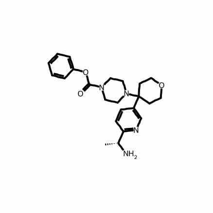 C[C@@H](N)c1ccc(C2(N3CCN(C(=O)Oc4ccccc4)CC3)CCOCC2)cn1